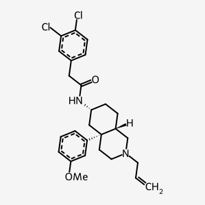 C=CCN1CC[C@@]2(c3cccc(OC)c3)C[C@H](NC(=O)Cc3ccc(Cl)c(Cl)c3)CC[C@@H]2C1